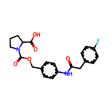 O=C(Cc1ccc(F)cc1)Nc1ccc(COC(=O)N2CCCC2C(=O)O)cc1